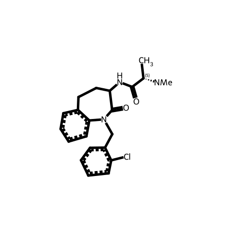 CN[C@@H](C)C(=O)NC1CCc2ccccc2N(Cc2ccccc2Cl)C1=O